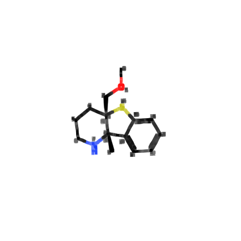 COC[C@]12CCCN[C@@]1(C)c1ccccc1S2